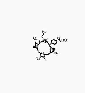 CCC1=C(C)c2cc3[nH]c(c(C)c3C(C)C)c(-c3ccc(OC=O)cc3)c3nc(c4c5[nH]c(cc1n2)c(C)c5C(=O)C4)[C@@H](CCC(C)=O)[C@@H]3C